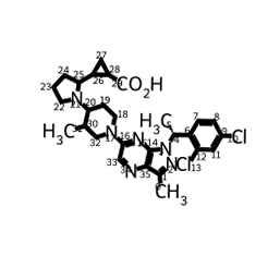 Cc1nn([C@H](C)c2ccc(Cl)cc2Cl)c2nc(N3CCC(N4CCCC4C4CC4C(=O)O)C(C)C3)cnc12